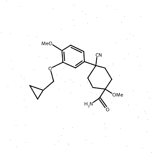 COc1ccc(C2(C#N)CCC(OC)(C(N)=O)CC2)cc1OCC1CC1